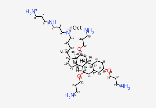 CCCCCCCCN(CCCNCCCN)CCC[C@@H](C)C1CC[C@H]2C3[C@H](OCCCN)CC4C[C@H](OCCCN)CC[C@]4(C)[C@H]3C[C@H](OCCCN)[C@]12C